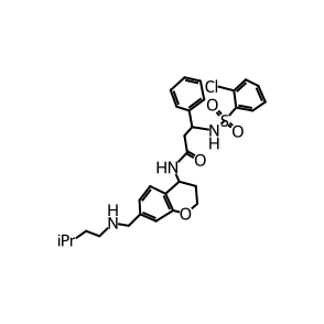 CC(C)CCNCc1ccc2c(c1)OCCC2NC(=O)CC(NS(=O)(=O)c1ccccc1Cl)c1ccccc1